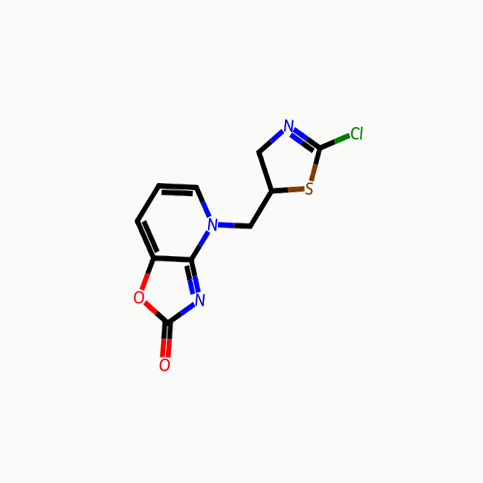 O=c1nc2n(CC3CN=C(Cl)S3)cccc-2o1